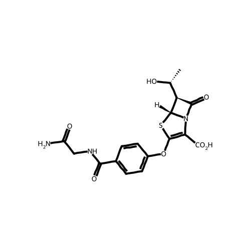 C[C@@H](O)[C@H]1C(=O)N2C(C(=O)O)=C(Oc3ccc(C(=O)NCC(N)=O)cc3)S[C@H]12